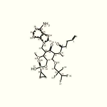 C=CCCC(=O)N(C)C(COCC(F)(F)C(F)F)C(=O)C(Cn1cnc2c(N)ncnc21)C(COP(=O)(O)C1CC1)OC